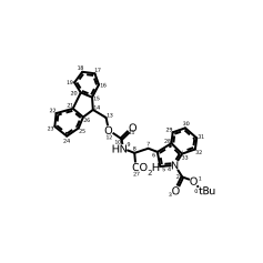 CC(C)(C)OC(=O)n1cc(CC(NC(=O)OCC2c3ccccc3-c3ccccc32)C(=O)O)c2ccccc21